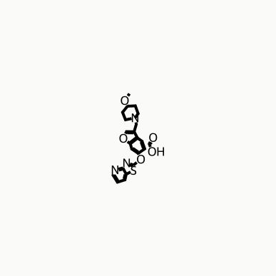 COC1CCN(Cc2coc3cc(Oc4nc5ncccc5s4)ccc23)CC1.O=CO